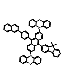 CC1(C)c2ccccc2-c2ccc(-c3c4ccc(N5c6ccccc6Sc6ccccc65)cc4c(-c4ccc(-c5ccc6ccccc6c5)cc4)c4ccc(N5c6ccccc6Sc6ccccc65)cc34)cc21